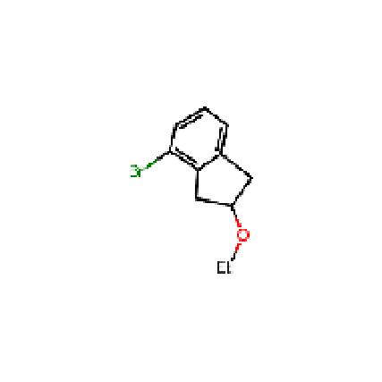 CCOC1Cc2cccc(Br)c2C1